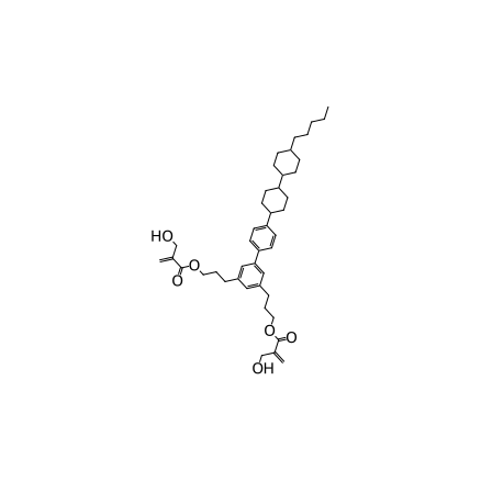 C=C(CO)C(=O)OCCCc1cc(CCCOC(=O)C(=C)CO)cc(-c2ccc(C3CCC(C4CCC(CCCCC)CC4)CC3)cc2)c1